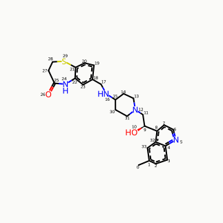 Cc1ccc2nccc([C@@H](O)CN3CCC(NCc4ccc5c(c4)NC(=O)CCS5)CC3)c2c1